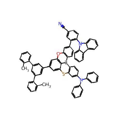 Cc1ccccc1-c1cc(-c2cc3c4c(c2)Sc2cc(N(c5ccccc5)c5ccccc5)ccc2B4c2ccc(-c4cc(C#N)ccc4-n4c5ccccc5c5ccccc54)cc2O3)cc(-c2ccccc2C)c1